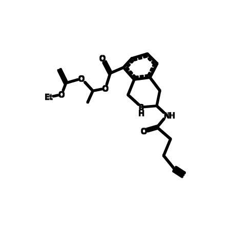 C#CCCC(=O)NC1BCc2c(cccc2C(=O)OC(C)OC(=C)OCC)C1